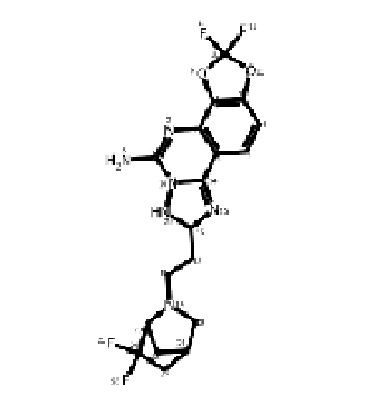 NC1=Nc2c(ccc3c2OC(F)(F)O3)C2=NC(CCN3CC4CC3C(F)(F)C4)NN12